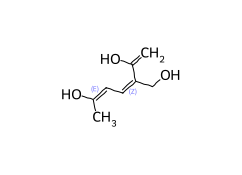 C=C(O)/C(=C\C=C(/C)O)CO